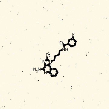 CCc1nc2c(N)nc3ccccc3c2n1CCCCNC(=O)c1cccc(F)c1